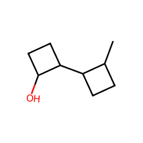 CC1CCC1C1CCC1O